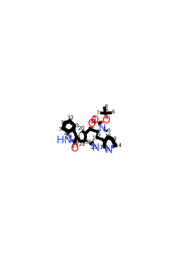 CN(C(=O)OC(C)(C)C)[C@@H](Cc1cccnc1)C(=O)C1C[C@]2(C[C@H]1C#N)C(=O)Nc1ccccc12